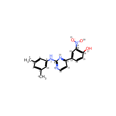 Cc1cc(C)cc(Nc2nccc(-c3ccc(O)c([N+](=O)[O-])c3)n2)c1